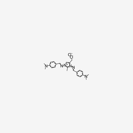 Cc1n(/N=C/c2ccc(N(C)C)cc2)c(CCl)c[n+]1/N=C/c1ccc(N(C)C)cc1.[Cl-]